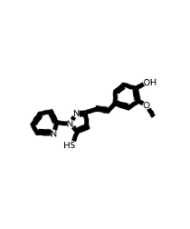 COc1cc(/C=C/c2cc(S)n(-c3ccccn3)n2)ccc1O